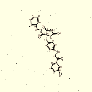 O=C1NC(=O)[C@](Cc2ccc(OCC(=O)c3cccc(Cl)c3)cc2)(C(=O)OCc2ccccc2)S1